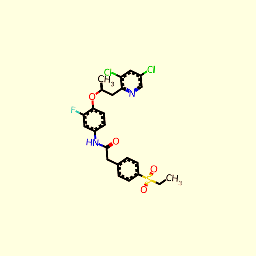 CCS(=O)(=O)c1ccc(CC(=O)Nc2ccc(OC(C)Cc3ncc(Cl)cc3Cl)c(F)c2)cc1